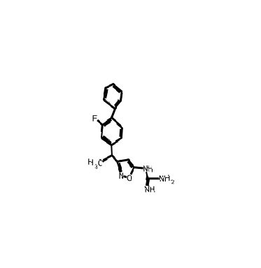 CC(c1ccc(-c2ccccc2)c(F)c1)c1cc(NC(=N)N)on1